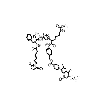 CCN1CC(C(=O)O)C(=O)c2cc(F)c(N3CCN(C(=O)OCc4ccc(NC(=O)C(CCCCNC(N)=O)n5cc([C@@H](NC(=O)[C@@H](Cc6ccccc6)NC(=O)CCCCCN6C(=O)CCC6=O)C(C)C)nn5)cc4)CC3)cc21